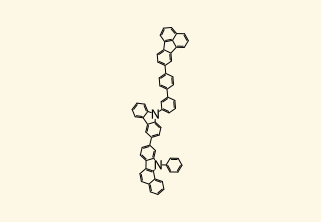 c1ccc(-n2c3cc(-c4ccc5c(c4)c4ccccc4n5-c4cccc(-c5ccc(-c6ccc7c(c6)-c6cccc8cccc-7c68)cc5)c4)ccc3c3ccc4ccccc4c32)cc1